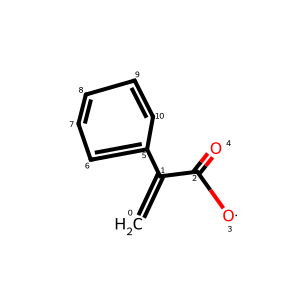 C=C(C([O])=O)c1ccccc1